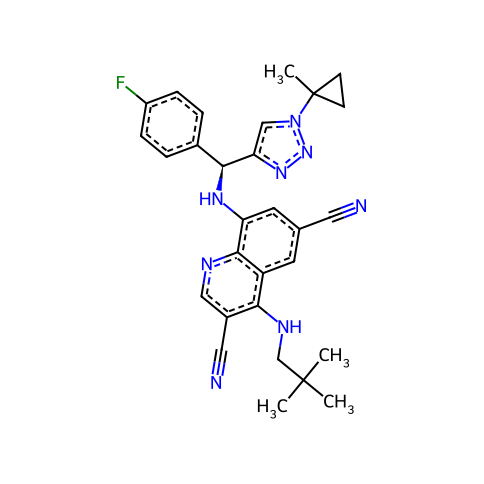 CC(C)(C)CNc1c(C#N)cnc2c(N[C@@H](c3ccc(F)cc3)c3cn(C4(C)CC4)nn3)cc(C#N)cc12